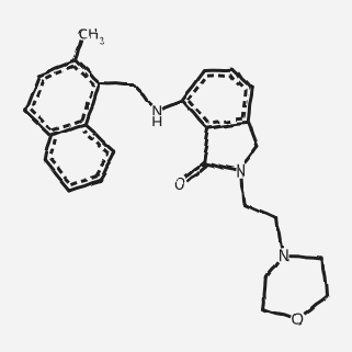 Cc1ccc2ccccc2c1CNc1cccc2c1C(=O)N(CCN1CCOCC1)C2